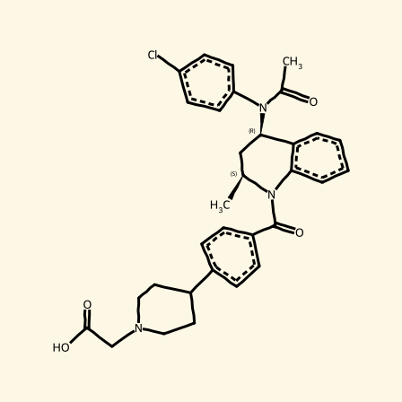 CC(=O)N(c1ccc(Cl)cc1)[C@@H]1C[C@H](C)N(C(=O)c2ccc(C3CCN(CC(=O)O)CC3)cc2)c2ccccc21